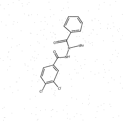 CC(C)(C)N(NC(=O)c1ccc(Cl)c(Cl)c1)C(=O)c1ccccc1